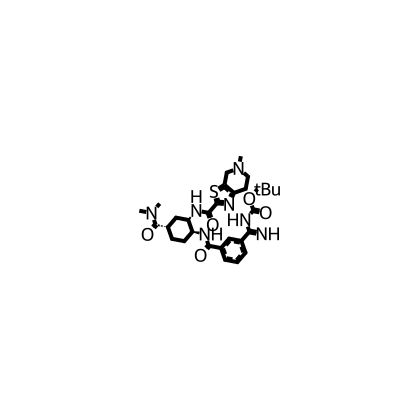 CN1CCc2nc(C(=O)N[C@H]3C[C@@H](C(=O)N(C)C)CC[C@@H]3NC(=O)c3cccc(C(=N)NC(=O)OC(C)(C)C)c3)sc2C1